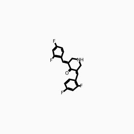 O=C1C(=Cc2ccc(F)cc2F)CNCC1=Cc1ccc(F)cc1F